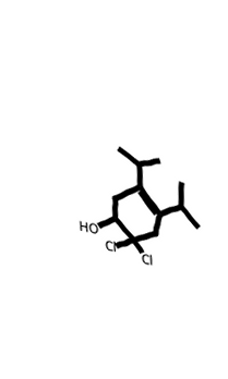 CC(C)C1=C(C(C)C)CC(Cl)(Cl)C(O)C1